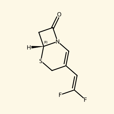 O=C1C[C@H]2SCC(C=C(F)F)=CN12